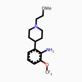 COCCN1CCC(c2cccc(OC(F)(F)F)c2N)CC1